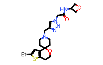 CCc1cc2c(s1)CCOC21CCN(Cc2cn(CC(=O)NC3COC3)nn2)CC1